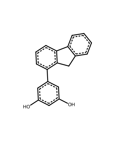 Oc1cc(O)cc(-c2cccc3c2Cc2ccccc2-3)c1